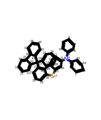 c1ccc(N(c2ccccc2)c2ccc3c(c2)sc2cccc(C4(c5ccccc5)c5ccccc5-c5ccccc54)c23)cc1